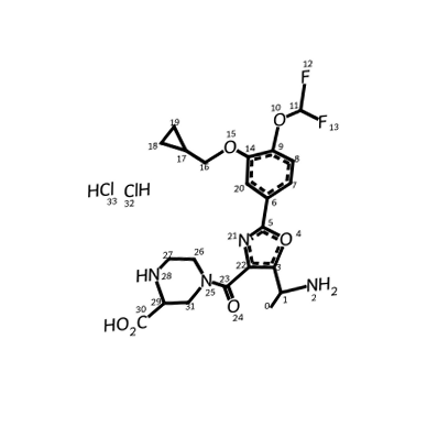 CC(N)c1oc(-c2ccc(OC(F)F)c(OCC3CC3)c2)nc1C(=O)N1CCNC(C(=O)O)C1.Cl.Cl